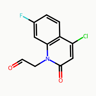 O=CCn1c(=O)cc(Cl)c2ccc(F)cc21